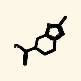 Cc1cn2c(n1)CN(C(=O)C(C)C)CC2